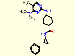 Cc1cnc(N[C@H]2CC[C@@H](C(=O)N[C@H]3C[C@@H]3c3ccccc3)CC2)nc1N(C)C